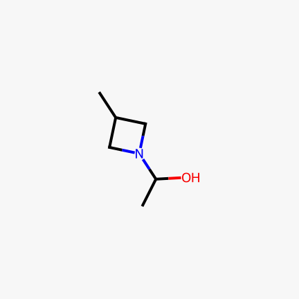 CC1CN(C(C)O)C1